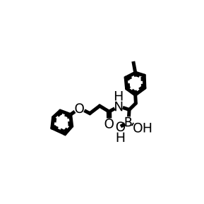 Cc1ccc(CC(NC(=O)CCOc2ccccc2)B(O)O)cc1